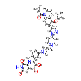 C[C@H]1CCc2c(ccc(-c3cnn(C4CCN(CC5CN(c6ccc7c(c6)C(C(=O)C=O)N(C6CCC(=O)NC6=O)C7)C5)CC4)c3)c2OC2CCC2)N1C(=O)C1CC1